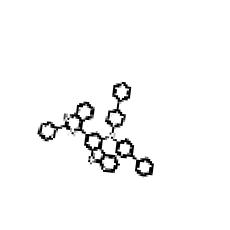 c1ccc(-c2ccc(N(c3ccc(-c4ccccc4)cc3)c3cc(-c4nc(-c5ccccc5)nc5ccccc45)cc4oc5ccccc5c34)cc2)cc1